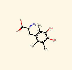 Bc1c(B)c(C[C@H](N)C(=O)O)c(B)c(O)c1O